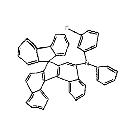 Fc1cccc(N(c2ccccc2)c2cc3c(c4ccccc24)-c2c(ccc4ccccc24)C32c3ccccc3-c3ccccc32)c1